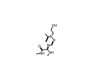 C=C(C)N(CCO)/N=C\N=C(/NC)C(=O)NC